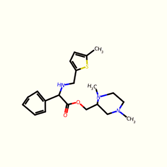 Cc1ccc(CNC(C(=O)OCC2CN(C)CCN2C)c2ccccc2)s1